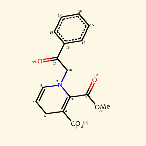 COC(=O)C1=C(C(=O)O)CC=CN1CC(=O)c1ccccc1